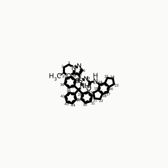 C[C@H]1CCn2ncc(S(=O)(=NC(=O)Nc3c4c(cc5c3CCC5)CCC4)NC(c3ccccc3)(c3ccccc3)c3ccccc3)c2O1